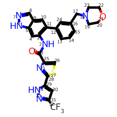 O=C(Nc1cc2[nH]ncc2cc1-c1cccc(CN2CCOCC2)c1)c1csc(-c2cc(C(F)(F)F)n[nH]2)n1